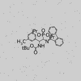 Cc1cccc(C(NC(=O)OC(C)(C)C)C(N=C2c3ccccc3-c3ccccc32)P(=O)(OC(C)C)OC(C)C)c1